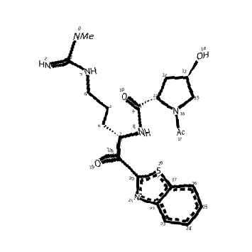 CNC(=N)NCCC[C@H](NC(=O)[C@@H]1C[C@@H](O)CN1C(C)=O)C(=O)c1nc2ccccc2s1